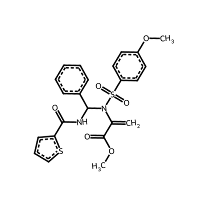 C=C(C(=O)OC)N(C(NC(=O)c1cccs1)c1ccccc1)S(=O)(=O)c1ccc(OC)cc1